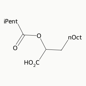 CCCCCCCCCC(OC(=O)C(C)CCC)C(=O)O